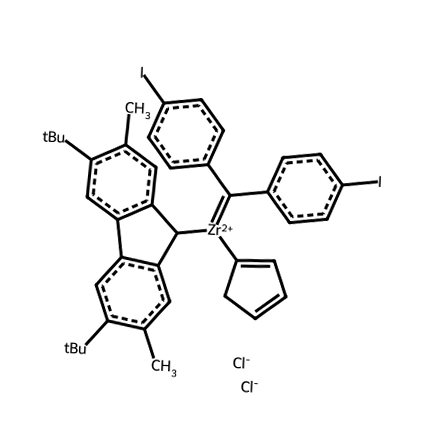 Cc1cc2c(cc1C(C)(C)C)-c1cc(C(C)(C)C)c(C)cc1[CH]2[Zr+2]([C]1=CC=CC1)=[C](c1ccc(I)cc1)c1ccc(I)cc1.[Cl-].[Cl-]